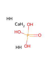 O=P(O)(O)O.[CaH2].[HH].[HH]